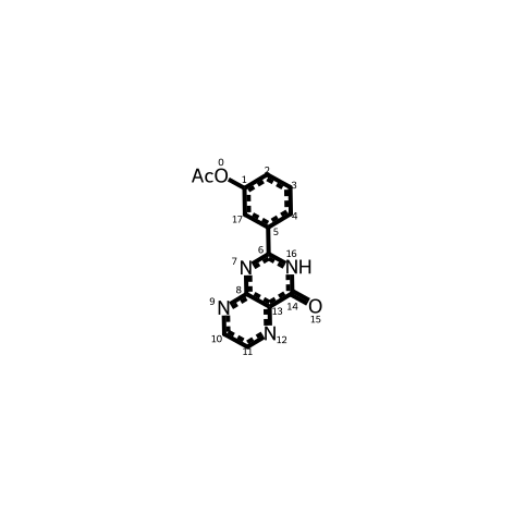 CC(=O)Oc1cccc(-c2nc3nccnc3c(=O)[nH]2)c1